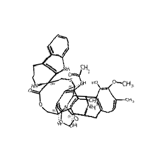 COc1c(C)cc2c(c1O)C1NC(C2)[C@H](O)N2C1[C@@H]1SC[C@]3(NCCc4c3[nH]c3ccccc43)C(=O)OC[C@H]2c2c3c(c(C)c(OC(C)=O)c21)OCO3